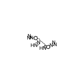 c1cc(-n2cnnc2)ccc1CC(CCCc1c[nH]c2ccc(-n3cnnc3)cc12)N1CCNCC1